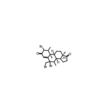 CC1[C@@H]2[C@@H](CC[C@]3(C)C(=O)CC[C@@H]23)[C@]2(C)C(=CC(=O)C(Br)C2C)C1(Br)CBr